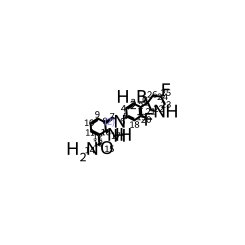 BC1(c2ccc(N/C=C3/C=CC=C(C(N)=O)C3=N)cc2F)CNCC(F)C1